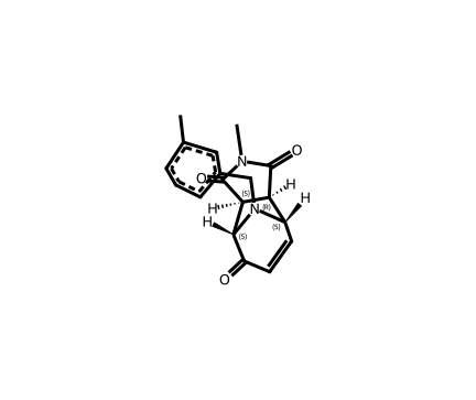 Cc1cccc(CN2[C@@H]3C(=O)C=C[C@H]2[C@@H]2C(=O)N(C)C(=O)[C@@H]23)c1